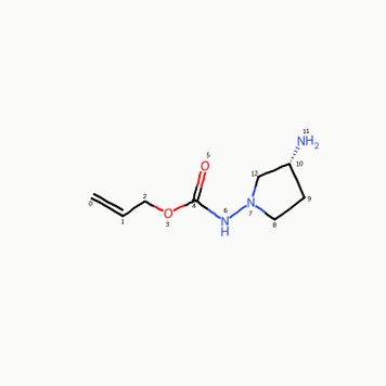 C=CCOC(=O)NN1CC[C@@H](N)C1